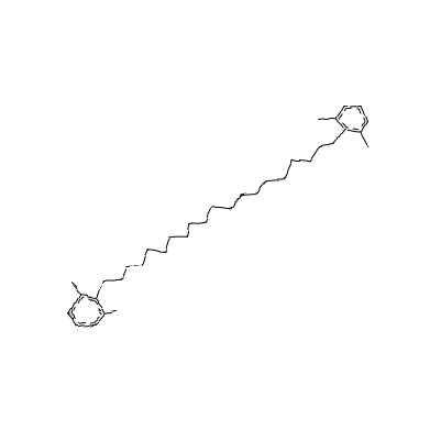 Cc1cccc(C)c1CCCCCCCCCCCCCCCCCCCCc1c(C)cccc1C